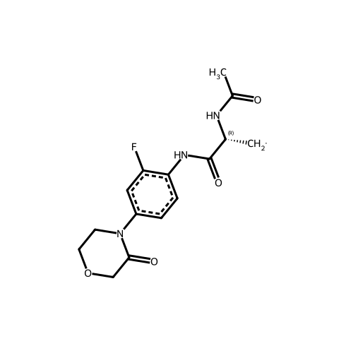 [CH2][C@@H](NC(C)=O)C(=O)Nc1ccc(N2CCOCC2=O)cc1F